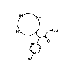 CC(=O)c1ccc(C(C(=O)OC(C)(C)C)N2CCNCCNCCNCC2)cc1